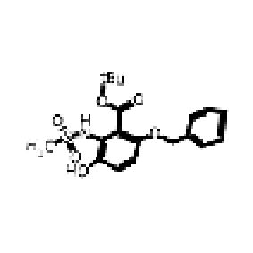 CC(C)(C)OC(=O)c1c(OCc2ccccc2)ccc(O)c1NS(C)(=O)=O